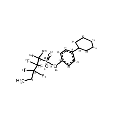 CCC(F)(F)C(F)(F)C(F)(F)S(=O)(=O)Oc1ccc(C2CCCCC2)cc1